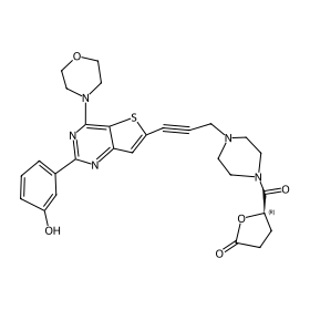 O=C1CC[C@H](C(=O)N2CCN(CC#Cc3cc4nc(-c5cccc(O)c5)nc(N5CCOCC5)c4s3)CC2)O1